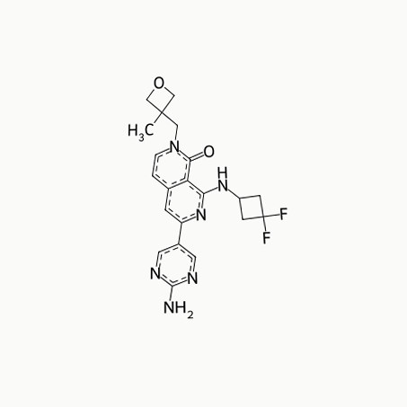 CC1(Cn2ccc3cc(-c4cnc(N)nc4)nc(NC4CC(F)(F)C4)c3c2=O)COC1